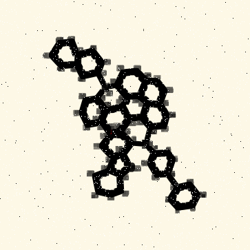 c1ccc(-c2ccc(N(c3cccc4c3oc3ccccc34)c3ccc4ccc5ccc(N(c6ccccc6)c6ccc7ccccc7c6)c6c7ccccc7c3c4c56)cc2)cc1